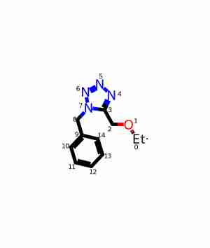 C[CH]OCc1nnnn1Cc1ccccc1